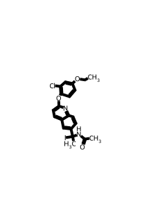 CCOc1ccc(Oc2ccc3cc(C(C)(I)NC(C)=O)ccc3n2)c(Cl)c1